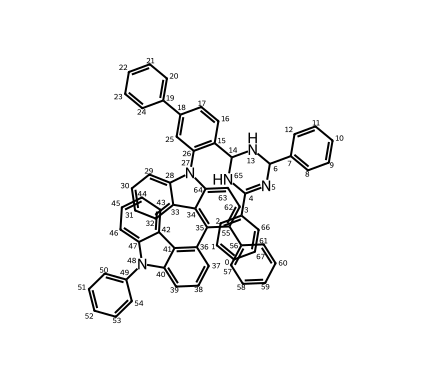 c1ccc(C2=NC(c3ccccc3)NC(c3ccc(-c4ccccc4)cc3-n3c4ccccc4c4c(-c5cccc6c5c5ccccc5n6-c5ccccc5)c(-c5ccccc5)ccc43)N2)cc1